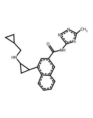 Cc1nnc(NC(=O)c2cc(C3CC3NCC3CC3)c3ccccc3c2)s1